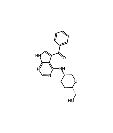 O=C(c1ccccc1)c1c[nH]c2ncnc(N[C@@H]3CC[C@@H](CO)OC3)c12